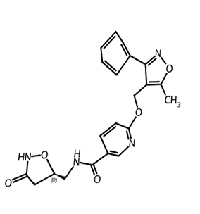 Cc1onc(-c2ccccc2)c1COc1ccc(C(=O)NC[C@H]2CC(=O)NO2)cn1